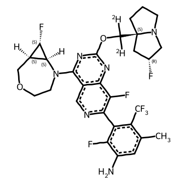 [2H]C([2H])(Oc1nc(N2CCOC[C@H]3[C@H](F)[C@H]32)c2cnc(-c3c(F)c(N)cc(C)c3C(F)(F)F)c(F)c2n1)[C@@]12CCCN1C[C@H](F)C2